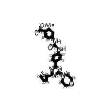 COC(=O)c1ccc(NC(=O)Nc2ccc(-c3nc(-c4cccs4)nc(N4CCOCC4)n3)cc2)cc1